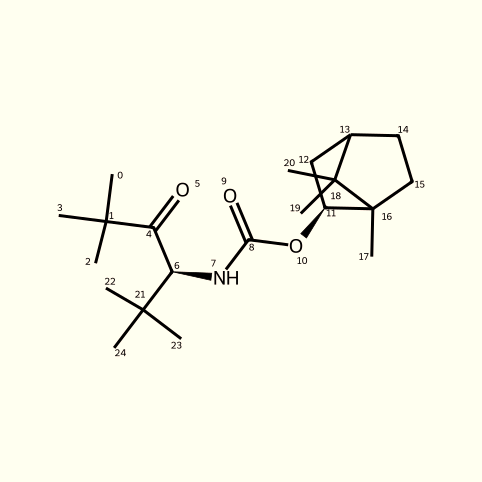 CC(C)(C)C(=O)[C@@H](NC(=O)O[C@H]1CC2CCC1(C)C2(C)C)C(C)(C)C